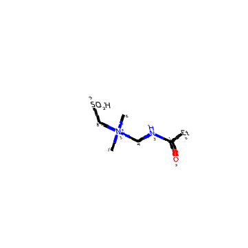 CCC(=O)NC[N+](C)(C)CS(=O)(=O)O